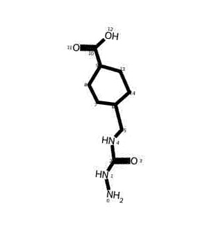 NNC(=O)NCC1CCC(C(=O)O)CC1